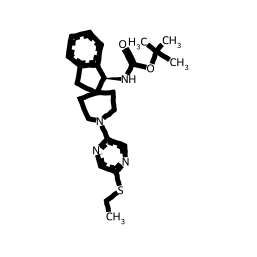 CCSc1cnc(N2CCC3(CC2)Cc2ccccc2[C@H]3NC(=O)OC(C)(C)C)cn1